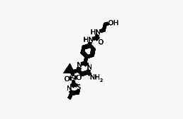 Cc1csc(S(=O)(=O)C2(c3cc(N)nc(-c4ccc(NC(=O)NCCO)cc4)n3)CC2)n1